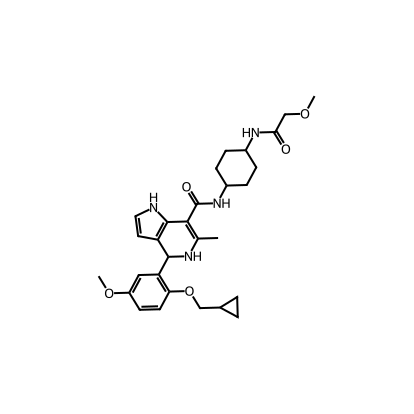 COCC(=O)NC1CCC(NC(=O)C2=C(C)NC(c3cc(OC)ccc3OCC3CC3)c3cc[nH]c32)CC1